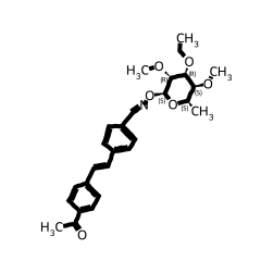 CCO[C@@H]1[C@@H](OC)[C@H](C)O[C@@H](ON=Cc2ccc(C=Cc3ccc(C(C)=O)cc3)cc2)[C@@H]1OC